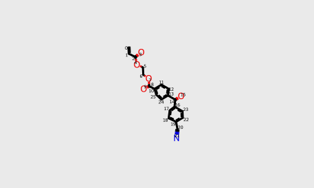 C=CC(=O)OCCOC(=O)c1ccc(C(=O)c2ccc(C#N)cc2)cc1